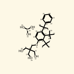 CC(C)(C)c1c(OCC(CO)(CO)CO)ccc(C(C)(C)c2ccccc2)c1C(C)(C)C.OP(O)O